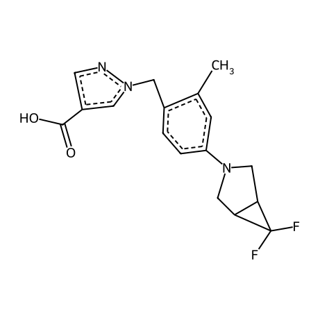 Cc1cc(N2CC3C(C2)C3(F)F)ccc1Cn1cc(C(=O)O)cn1